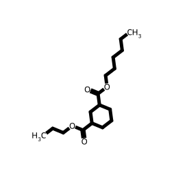 CCCCCCOC(=O)C1CCCC(C(=O)OCCC)C1